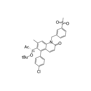 CC(=O)[C@@H](OC(C)(C)C)c1c(C)cc2c(ccc(=O)n2Cc2cccc(S(C)(=O)=O)c2)c1-c1ccc(Cl)cc1